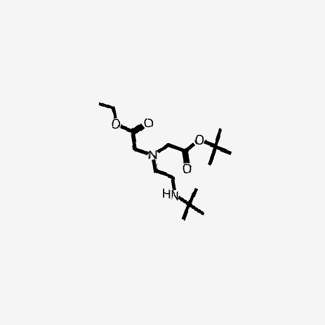 CCOC(=O)CN(CCNC(C)(C)C)CC(=O)OC(C)(C)C